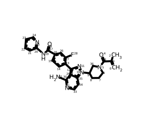 C=C(C)C(=O)N1CCCC(n2nc(-c3ccc(C(=O)Nc4ccccn4)cc3F)c3c(N)nccc32)C1